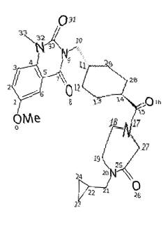 COc1ccc2c(c1)c(=O)n(C[C@H]1CC[C@H](C(=O)N3CCN(CC4CC4)C(=O)C3)CC1)c(=O)n2C